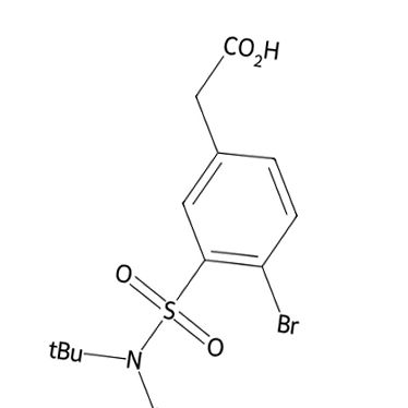 CC(C)N(C(C)(C)C)S(=O)(=O)c1cc(CC(=O)O)ccc1Br